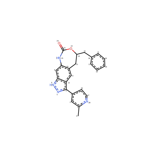 Cc1cc(-c2n[nH]c3cc4c(cc23)CC(Cc2ccccc2)OC(=O)N4)ccn1